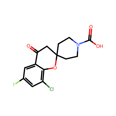 O=C1CC2(CCN(C(=O)O)CC2)Oc2c(Cl)cc(F)cc21